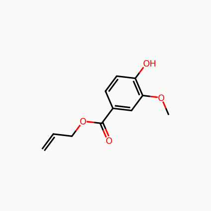 C=CCOC(=O)c1ccc(O)c(OC)c1